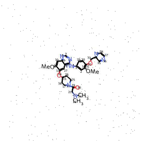 COc1cc(Nc2ncnc3cc(OC)c(OC4CCN(C(=O)CN(C)C)CC4)cc23)ccc1OCc1cnccn1